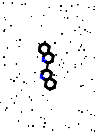 [c]1nc2ccccc2cc1-c1ccc2ccccc2n1